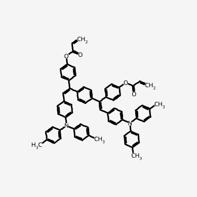 C=CC(=O)Oc1ccc(C(=Cc2ccc(N(c3ccc(C)cc3)c3ccc(C)cc3)cc2)c2ccc(C(=Cc3ccc(N(c4ccc(C)cc4)c4ccc(C)cc4)cc3)c3ccc(OC(=O)C=C)cc3)cc2)cc1